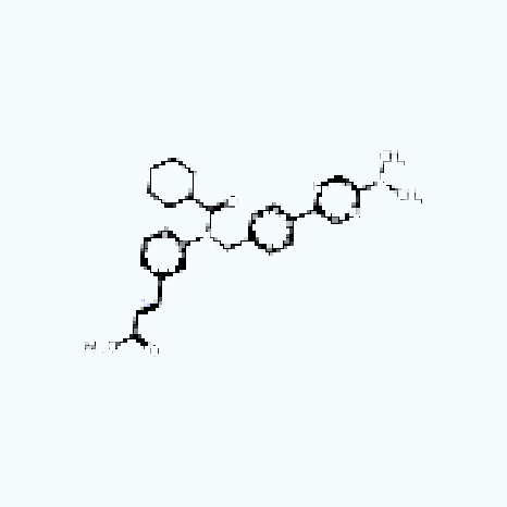 COC(=O)/C=C/c1cccc(N(Cc2ccc(-c3cnc(N(C)C)cn3)cc2)C(=O)C2CCCCC2)c1